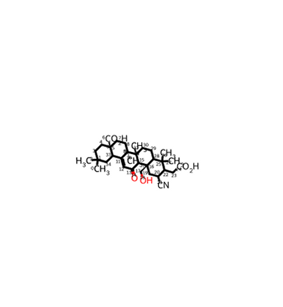 CC1(C)CC[C@]2(C(=O)O)CC[C@]3(C)C(=CC(=O)C4[C@@]5(CO)CC(C#N)C(CC(=O)O)C(C)(C)C5CC[C@]43C)C2C1